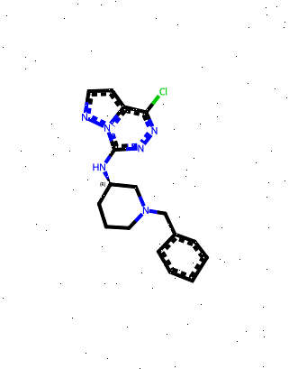 Clc1nnc(N[C@@H]2CCCN(Cc3ccccc3)C2)n2nccc12